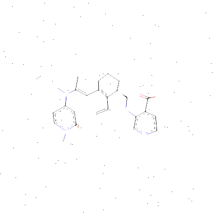 C=CC1=C(/C=C(\C)N(C)c2ccn(C)c(=O)c2)CCC[C@H]1CNc1cnccc1C(=O)O